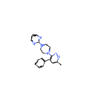 Cc1cc(-c2ccccc2)c(N2CCN(c3ncccn3)CC2)nn1